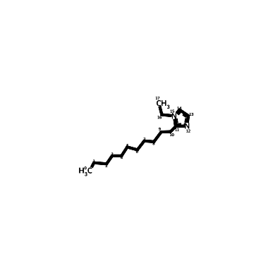 CCCCCCCCCCCc1nccn1CC